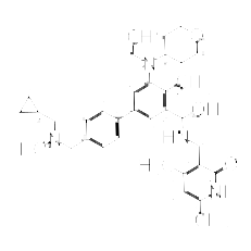 CCN(c1cc(-c2ccc(CN(C)CC3CC3)cc2)cc(C(O)NCc2c(C)cc(C)[nH]c2=O)c1C)C1CCOCC1